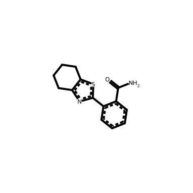 NC(=O)c1ccccc1-c1nc2c(s1)CCCC2